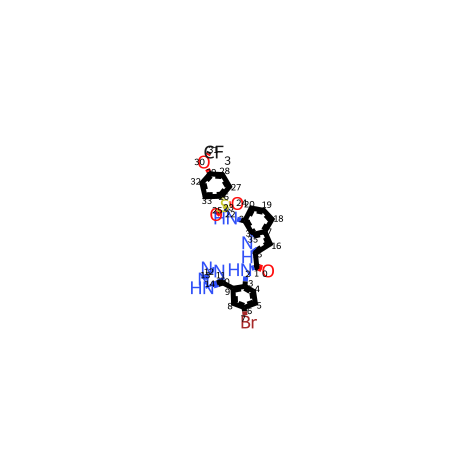 O=C(Nc1ccc(Br)cc1-c1nnn[nH]1)c1cc2cccc(NS(=O)(=O)c3ccc(OC(F)(F)F)cc3)c2[nH]1